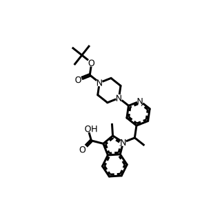 Cc1c(C(=O)O)c2ccccc2n1C(C)c1ccnc(N2CCN(C(=O)OC(C)(C)C)CC2)c1